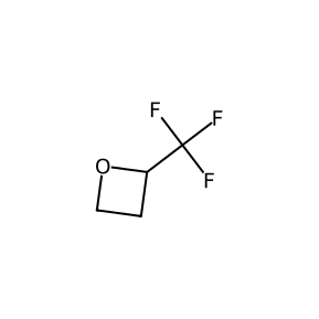 FC(F)(F)C1CCO1